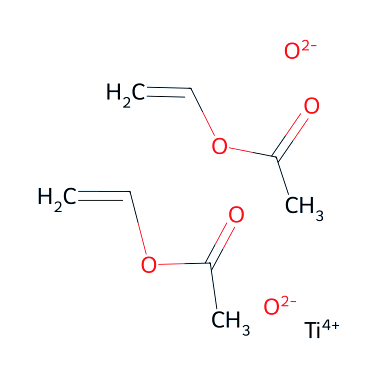 C=COC(C)=O.C=COC(C)=O.[O-2].[O-2].[Ti+4]